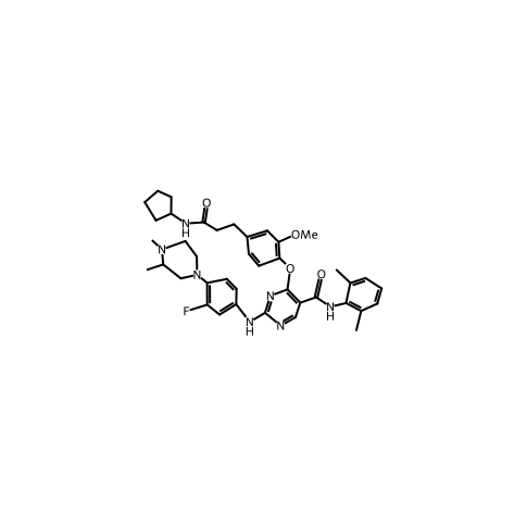 COc1cc(CCC(=O)NC2CCCC2)ccc1Oc1nc(Nc2ccc(N3CCN(C)C(C)C3)c(F)c2)ncc1C(=O)Nc1c(C)cccc1C